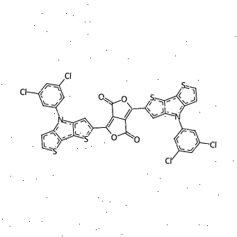 O=C1OC(c2cc3c(s2)c2sccc2n3-c2cc(Cl)cc(Cl)c2)=C2C(=O)OC(c3cc4c(s3)c3sccc3n4-c3cc(Cl)cc(Cl)c3)=C12